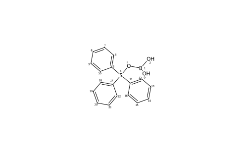 OB(O)OS(c1ccccc1)(c1ccccc1)c1ccccc1